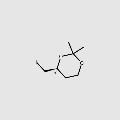 CC1(C)OCC[C@@H](CI)O1